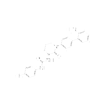 Nc1ccccc1-c1ccc(N2CCC[C@@H](NC(=O)Nc3ccc(Cl)cc3)C2=O)cc1